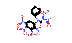 O=C(N(c1ccccc1)c1cc([N+](=O)[O-])c([N+](=O)[O-])c([N+](=O)[O-])c1[N+](=O)[O-])N([N+](=O)[O-])[N+](=O)[O-]